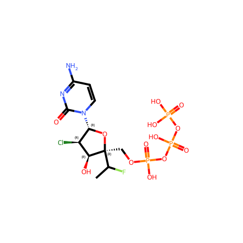 CC(F)[C@]1(COP(=O)(O)OP(=O)(O)OP(=O)(O)O)O[C@@H](n2ccc(N)nc2=O)[C@H](Cl)[C@@H]1O